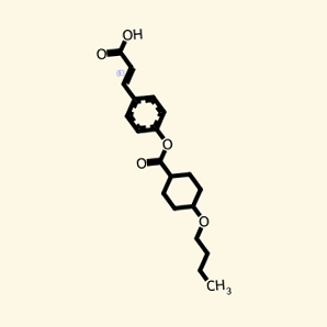 CCCCOC1CCC(C(=O)Oc2ccc(/C=C/C(=O)O)cc2)CC1